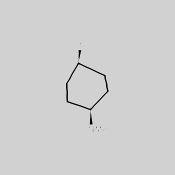 CN[C@H]1CC[C@@H](C(C)=O)CC1